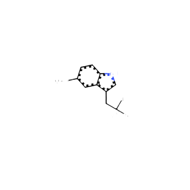 CCOC(=O)[C@](Cc1c[nH]c2ccc(OC)cc12)(C(C)C)[N+](=O)[O-]